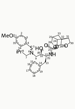 COc1ccc(SN(CC(C)C)C[C@@H](O)[C@H](Cc2ccccc2)NC(=O)OC2C3COC4OCC2C4C3)cc1